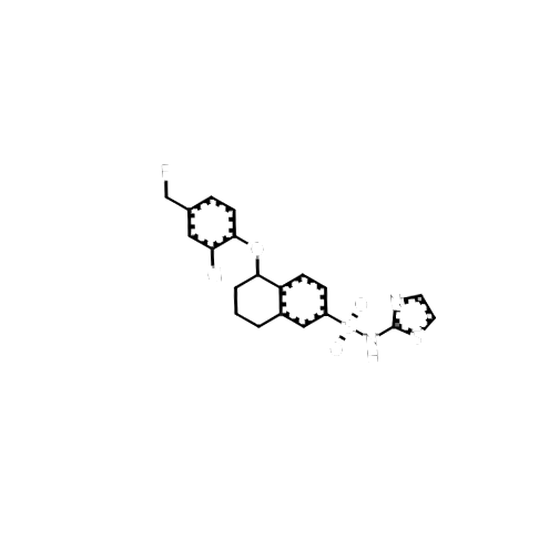 O=S(=O)(Nc1nccs1)c1ccc2c(c1)CCCC2Oc1ccc(CF)cc1Cl